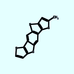 Cc1cc2sc3cc4c(cc3c2s1)sc1ccsc14